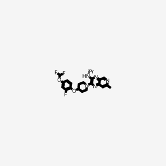 Cc1cc2nc(N3CCC(Oc4ccc(OC(F)F)cc4F)CC3)c(NC(C)C)nc2cn1